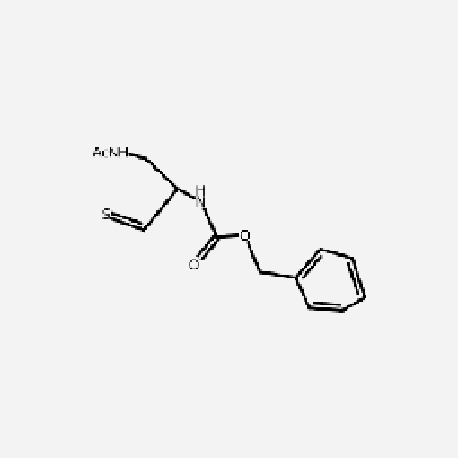 CC(=O)NCC([C]=S)NC(=O)OCc1ccccc1